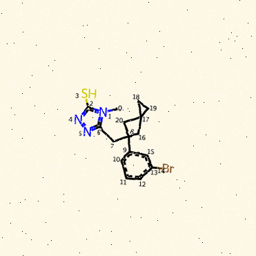 Cn1c(S)nnc1CC1(c2cccc(Br)c2)CC2(CC2)C1